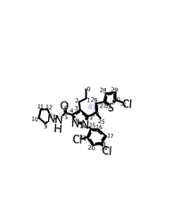 CCCc1c(C(=O)NN2CCCC2)nn(-c2ccc(Cl)cc2Cl)c1/C(C)=C/c1ccc(Cl)s1